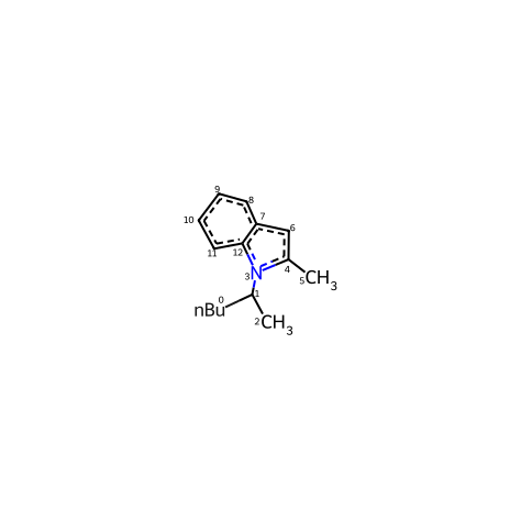 CCCCC(C)n1c(C)cc2ccccc21